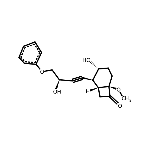 CO[C@]12CC[C@@H](O)[C@H](C#C[C@@H](O)COc3ccccc3)[C@H]1CC2=O